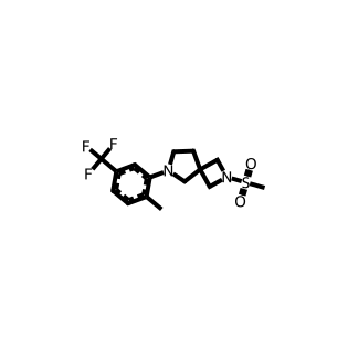 Cc1ccc(C(F)(F)F)cc1N1CCC2(C1)CN(S(C)(=O)=O)C2